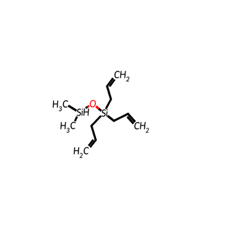 C=CC[Si](CC=C)(CC=C)O[SiH](C)C